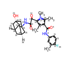 Cc1cc(NC(=O)c2c(C)c(C(=O)C(=O)N[C@@]34C[C@@H]5C[C@@H](C[C@@](O)(C5)C3)C4)n(C)c2C)ccc1F